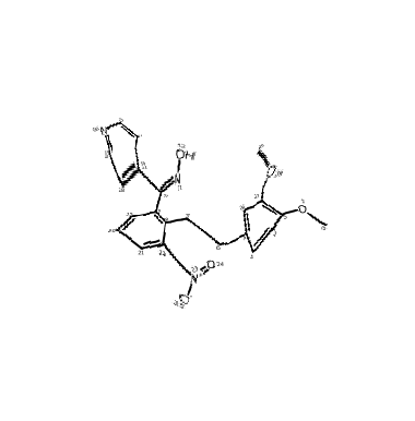 COc1ccc(CCc2c(C(=NO)c3ccncc3)cccc2[N+](=O)[O-])cc1OC